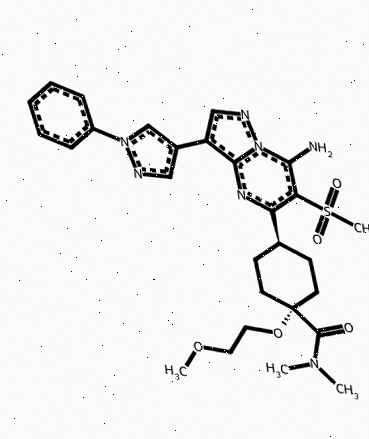 COCCO[C@]1(C(=O)N(C)C)CC[C@@H](c2nc3c(-c4cnn(-c5ccccc5)c4)cnn3c(N)c2S(C)(=O)=O)CC1